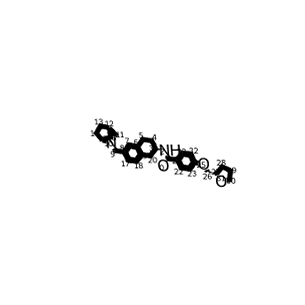 O=C(N[C@H]1CCc2cc(CN3CC4CCC3C4)ccc2C1)c1ccc(OC[C@@H]2CCCO2)cc1